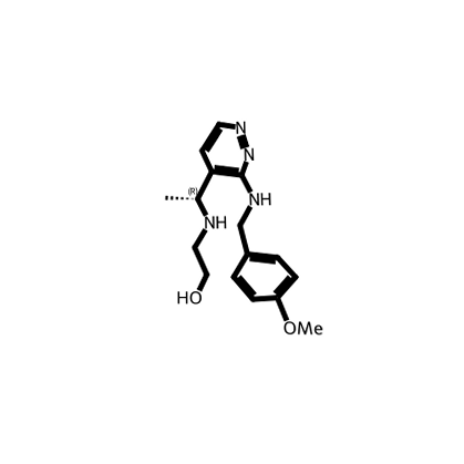 COc1ccc(CNc2nnccc2[C@@H](C)NCCO)cc1